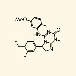 COc1ccc(C)c(NC2=NC(=O)N(C)C3=NCC(C4=CCC(CF)C(F)=C4)N23)c1